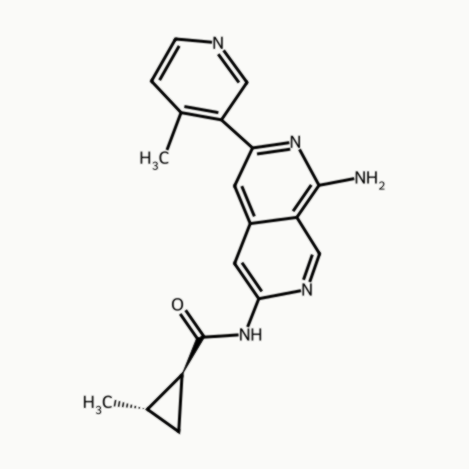 Cc1ccncc1-c1cc2cc(NC(=O)[C@H]3C[C@@H]3C)ncc2c(N)n1